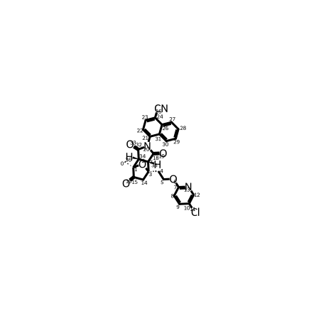 C[C@]12O[C@](CCOc3ccc(Cl)cn3)(CC1=O)[C@H]1C(=O)N(c3ccc(C#N)c4ccccc34)C(=O)[C@H]12